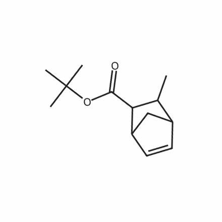 CC1C2C=CC(C2)C1C(=O)OC(C)(C)C